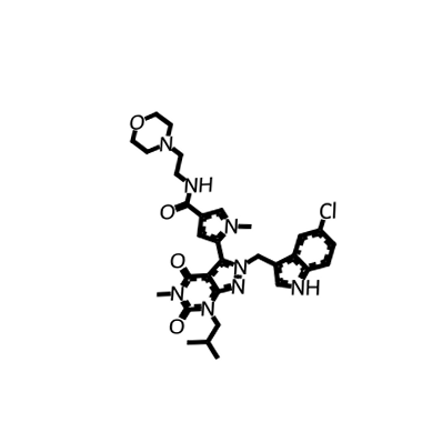 CC(C)Cn1c(=O)n(C)c(=O)c2c(-c3cc(C(=O)NCCN4CCOCC4)cn3C)n(Cc3c[nH]c4ccc(Cl)cc34)nc21